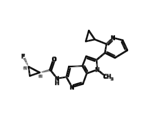 Cn1c(-c2cccnc2C2CC2)cc2cc(NC(=O)[C@@H]3C[C@@H]3F)ncc21